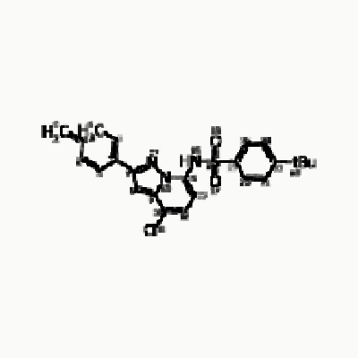 C=C/C=C\C(=C/C)c1cc2c(Cl)ccc(NS(=O)(=O)c3ccc(C(C)(C)C)cc3)n2n1